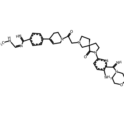 CN/C=N\C(=N)c1ccc(C2=CCN(C(=O)CN3CC[C@]4(CCN(c5ccc(N)c(C(=N)N6CCOCC6)n5)C4=O)C3)CC2)cc1